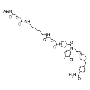 CNC(=O)COCC(=O)NCCCCCCCNC(=O)COCC(=O)N1CCC(C(=O)N(CCCN2CCC(Cc3ccc(C(N)=O)cc3)CC2)c2ccc(C)c(Cl)c2)CC1